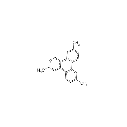 Cc1ccc2c(c1)c1ccc(C)cc1c1ccc(C)cc21